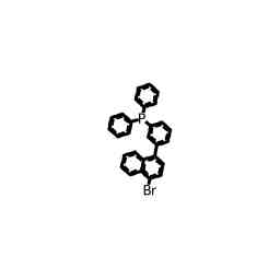 Brc1ccc(-c2cccc(P(c3ccccc3)c3ccccc3)c2)c2ccccc12